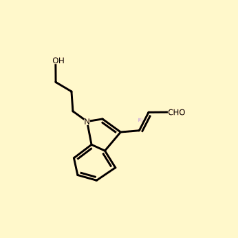 O=C/C=C/c1cn(CCCO)c2ccccc12